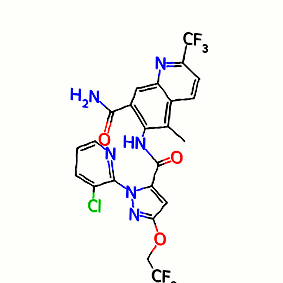 Cc1c(NC(=O)c2cc(OCC(F)(F)F)nn2-c2ncccc2Cl)c(C(N)=O)cc2nc(C(F)(F)F)ccc12